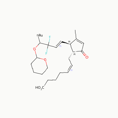 CCCCC(OC1CCCCO1)C(F)(F)/C=C/[C@H]1C(C)=CC(=O)[C@@H]1C/C=C\CCCC(=O)O